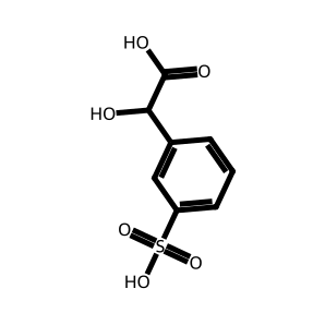 O=C(O)C(O)c1cccc(S(=O)(=O)O)c1